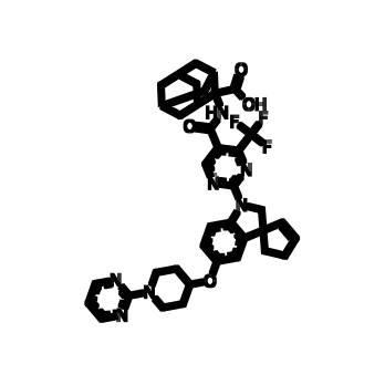 O=C(NC1(C(=O)O)C2CC3CC(C2)CC1C3)c1cnc(N2CC3(C=CCC3)c3cc(OC4CCN(c5ncccn5)CC4)ccc32)nc1C(F)(F)F